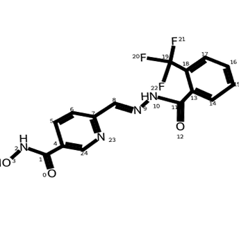 O=C(NO)c1ccc(/C=N/NC(=O)c2ccccc2C(F)(F)F)nc1